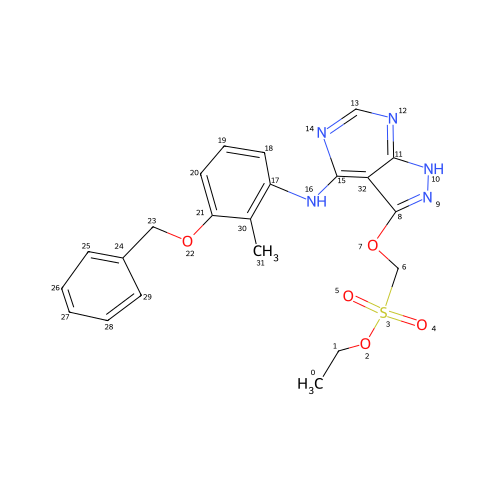 CCOS(=O)(=O)COc1n[nH]c2ncnc(Nc3cccc(OCc4ccccc4)c3C)c12